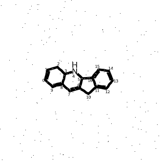 C1=CCC2NC3C(=CC2=C1)Cc1ccccc13